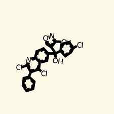 Cc1nocc1C(O)(c1ccc(Cl)cc1)c1ccc2nc(Cl)c(-c3ccccc3)c(Cl)c2c1